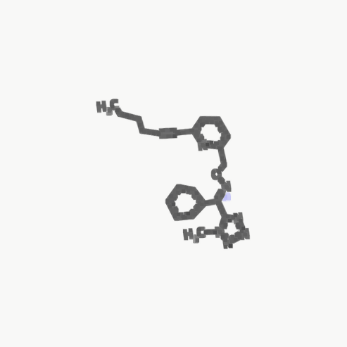 CCCCC#Cc1cccc(CO/N=C(\c2ccccc2)c2nnnn2C)n1